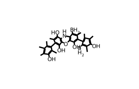 Bc1c(C)c(-c2c(B)c(C)c(O)c(C)c2C)c(O)c2c1Nc1c(O)c(C)c(-c3c(C)c(C)c(C)c(O)c3C)c(O)c1O2